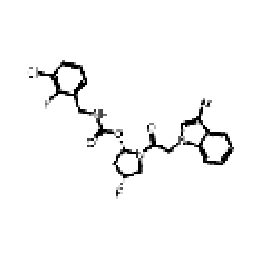 CC(=O)c1cn(CC(=O)N2C[C@H](F)C[C@@H]2OC(=O)NCc2cccc(Cl)c2F)c2ccccc12